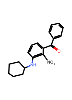 O=C(c1ccccc1)c1cccc(NC2CCCCC2)c1[N+](=O)[O-]